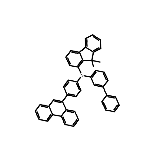 CC1(C)c2ccccc2-c2cccc(N(c3ccc(-c4cc5ccccc5c5ccccc45)cc3)c3cccc(-c4ccccc4)c3)c21